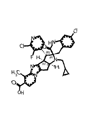 Cc1c(C(=O)O)ccn2c3c(nc12)[C@@H]1[C@H](C3)N(CC2CC2)[C@]2(Cc3ccc(Cl)cc3NC2=O)[C@H]1c1ccnc(Cl)c1F